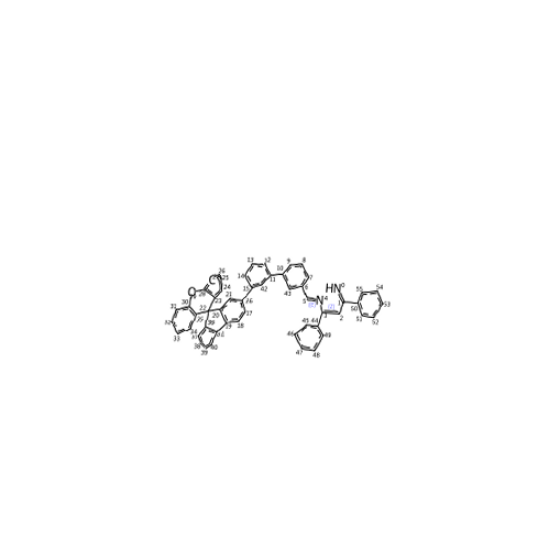 N=C(/C=C(\N=C\c1cccc(-c2cccc(-c3ccc4c(c3)C3(c5ccccc5Oc5ccccc53)c3ccccc3-4)c2)c1)c1ccccc1)c1ccccc1